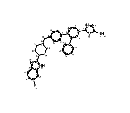 Nc1nnc(-c2cnc(-c3ccc(CN4CCC(c5nc6ccc(F)cc6[nH]5)CC4)cc3)c(-c3ccccc3)c2)s1